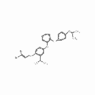 CC(C)Oc1ccc(Oc2ccccc2Oc2ccc(OCC=C(Br)Br)c(C(C)C)c2)cc1